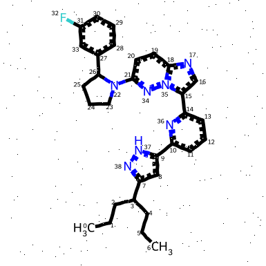 CCCC(CCC)c1cc(-c2cccc(-c3cnc4ccc(N5CCCC5c5cccc(F)c5)nn34)n2)[nH]n1